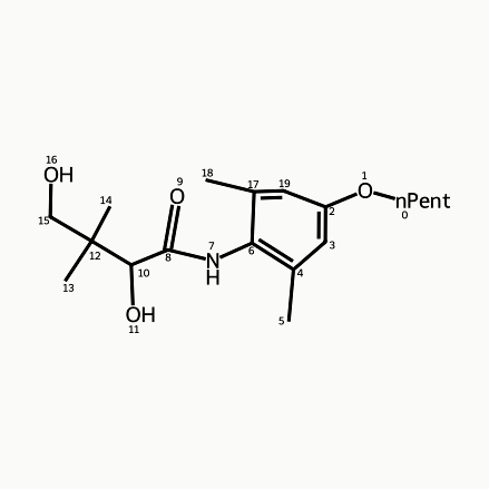 CCCCCOc1cc(C)c(NC(=O)C(O)C(C)(C)CO)c(C)c1